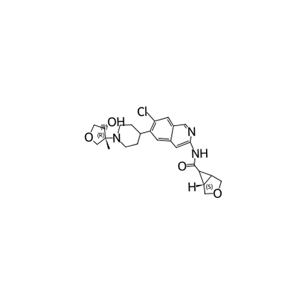 C[C@@]1(N2CCC(c3cc4cc(NC(=O)C5C6COC[C@@H]65)ncc4cc3Cl)CC2)COC[C@@H]1O